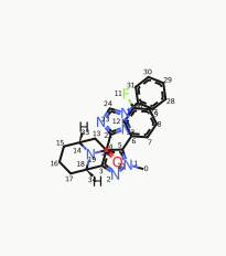 Cn1nc2c(c1-c1cccc(F)c1)C[C@H]1CCC[C@@H]2N1C(=O)c1ncn(-c2ccccc2)n1